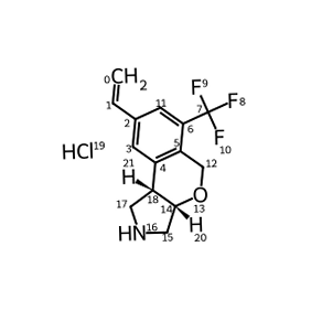 C=Cc1cc2c(c(C(F)(F)F)c1)CO[C@@H]1CNC[C@H]21.Cl